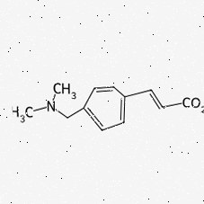 CN(C)Cc1ccc(/C=C/C(=O)O)cc1